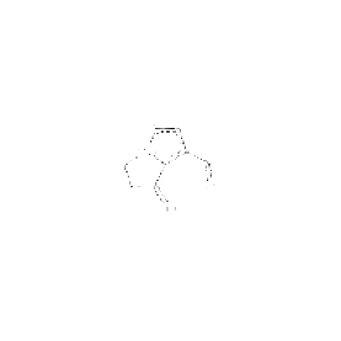 O=Cc1ccn2c1C(=O)CC2